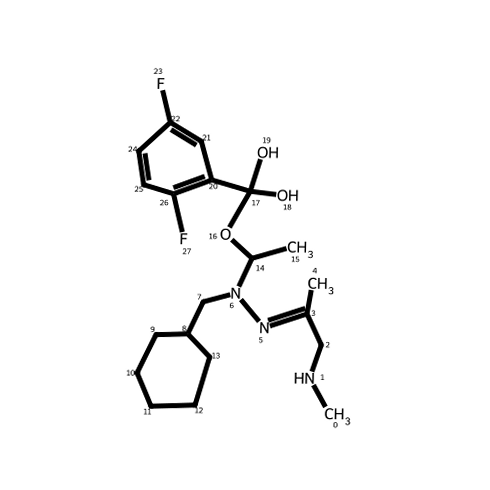 CNC/C(C)=N/N(CC1CCCCC1)C(C)OC(O)(O)c1cc(F)ccc1F